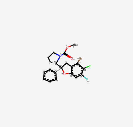 CC(C)(C)OC(=O)N1CCC[C@H]1[C@@]1(c2ccccc2)Cc2c(cc(F)c(Cl)c2Br)O1